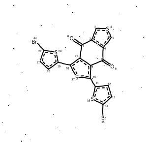 O=C1c2cscc2C(=O)c2c(-c3ccc(Br)s3)sc(-c3ccc(Br)s3)c21